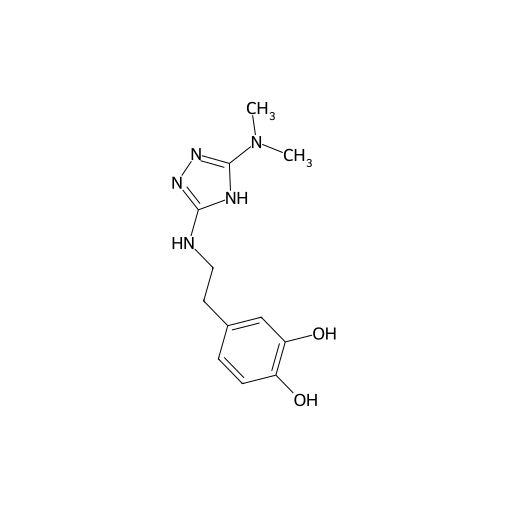 CN(C)c1nnc(NCCc2ccc(O)c(O)c2)[nH]1